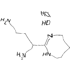 Cl.Cl.NCCC(N)C1=NCCCN1